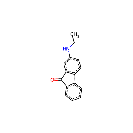 CCNc1ccc2c(c1)C(=O)c1ccccc1-2